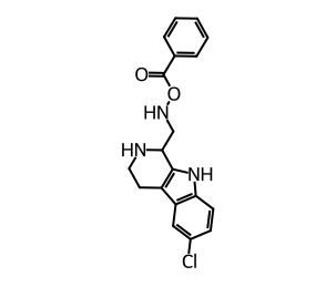 O=C(ONCC1NCCc2c1[nH]c1ccc(Cl)cc21)c1ccccc1